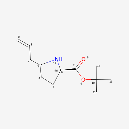 C=CCC1CC[C@H](C(=O)OC(C)(C)C)N1